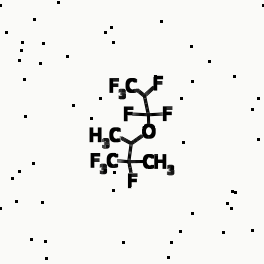 CC(OC(F)(F)C(F)C(F)(F)F)C(C)(F)C(F)(F)F